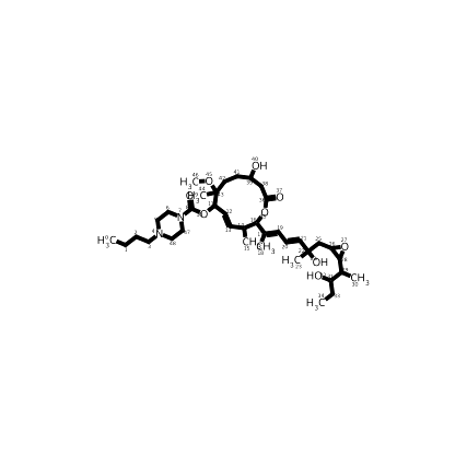 CCCCN1CCN(C(=O)OC2/C=C/C(C)C(/C(C)=C/C=C/C(C)(O)CC3OC3C(C)C(O)CC)OC(=O)CC(O)CCC2(C)OC)CC1